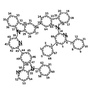 c1ccc(-c2cc(-c3ccccc3)nc(-n3c4ccccc4c4ccc(-c5ccc6c(c5)c5ccccc5n6-c5cccc(-c6ccc7c(c6)c6ncccc6n7-c6ccccc6)n5)cc43)c2)cc1